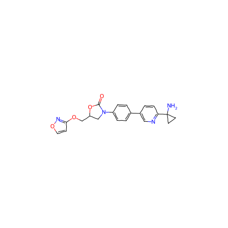 NC1(c2ccc(-c3ccc(N4CC(COc5ccon5)OC4=O)cc3)cn2)CC1